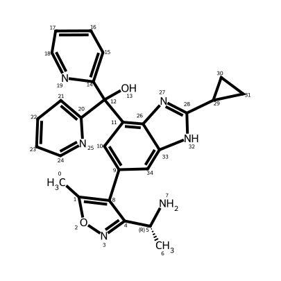 Cc1onc([C@@H](C)N)c1-c1cc(C(O)(c2ccccn2)c2ccccn2)c2nc(C3CC3)[nH]c2c1